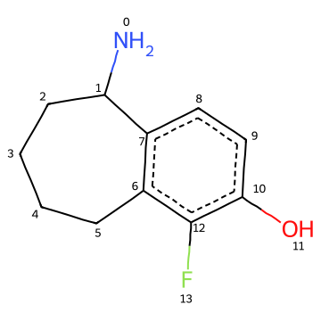 NC1CCCCc2c1ccc(O)c2F